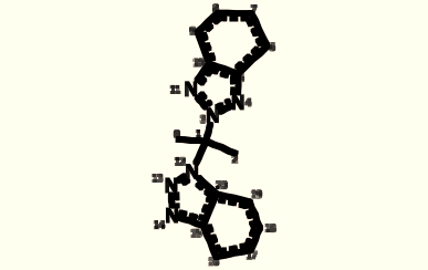 CC(C)(n1nc2ccccc2n1)n1nnc2ccccc21